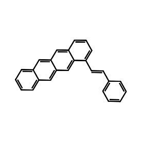 C(=Cc1cccc2cc3cc4ccccc4cc3cc12)c1ccccc1